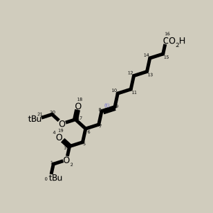 CC(C)(C)COC(=O)CC(C/C=C/CCCCCCC(=O)O)C(=O)OCC(C)(C)C